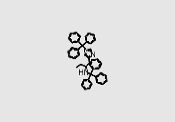 CCC(Cc1cn(C(c2ccccc2)(c2ccccc2)c2ccccc2)cn1)NC(c1ccccc1)(c1ccccc1)c1ccccc1